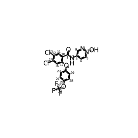 O=C(Nc1cc[n+](O)nc1)c1cc(Cl)c(Cl)cc1Oc1ccc(OC(F)(F)F)cc1